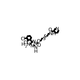 N=c1nc(N)c(-c2cccc(Cl)c2Cl)nn1C(=O)OCCSSCCNC(=O)c1cccnc1